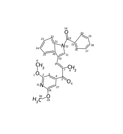 COc1cc(C(=O)/C(C)=C/c2cn(C(=O)c3ccccc3)c3ccccc23)cc(OC)n1